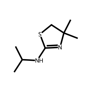 CC(C)NC1=NC(C)(C)CS1